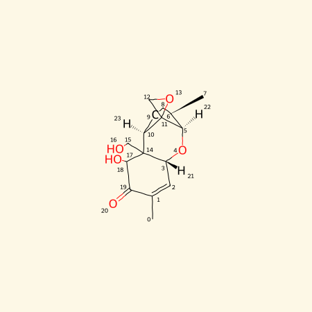 CC1=C[C@H]2O[C@@H]3[C@H](C)CC[C@@H](C34CO4)C2(CO)C(O)C1=O